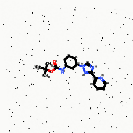 CC(C)(C)OC(=O)N[C@H]1CCC[C@@H](n2cnc(-c3ccccn3)n2)C1